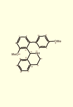 COc1ccc(-c2cccc(OC)c2C2NCCc3ccccc32)cc1